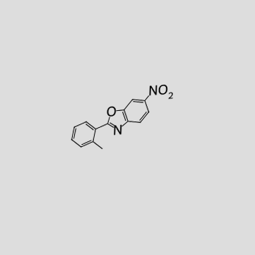 Cc1ccccc1-c1nc2ccc([N+](=O)[O-])cc2o1